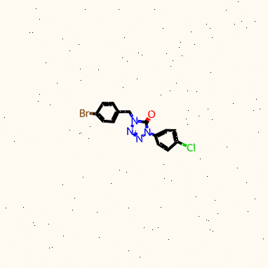 O=c1n(Cc2ccc(Br)cc2)nnn1-c1ccc(Cl)cc1